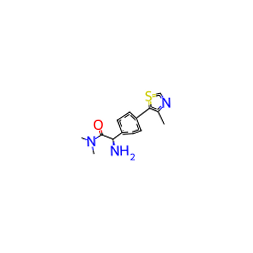 Cc1ncsc1-c1ccc([C@@H](N)C(=O)N(C)C)cc1